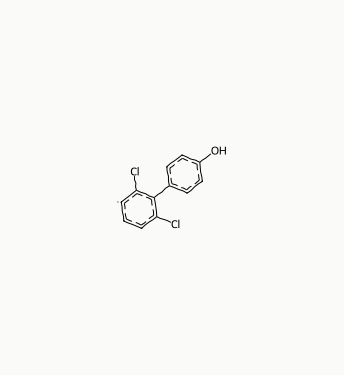 Oc1ccc(-c2c(Cl)[c]ccc2Cl)cc1